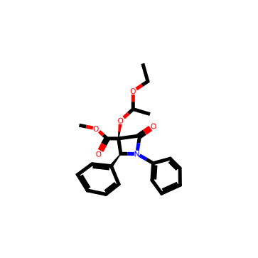 CCOC(C)O[C@@]1(C(=O)OC)C(=O)N(c2ccccc2)[C@H]1c1ccccc1